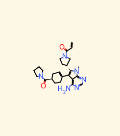 C=CC(=O)N1CC[C@@H](c2c(C3=CC[C@H](C(=O)N4CCCC4)CC3)c3c(N)ncnc3n2C)C1